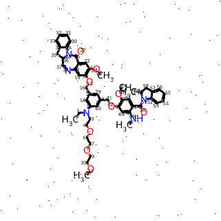 CCN(CCOCCOCCOC)c1cc(COc2cc3c(cc2OC)C(=O)N2c4ccccc4CC2C=N3)cc(COc2cc(NC)c(C(=O)N3c4ccccc4C[C@H]3C)cc2OC)c1